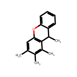 Cc1cc2c(c(C)c1C)C(C)c1ccccc1O2